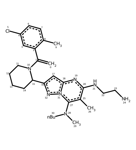 C=C(c1cc(Cl)ccc1C)N1CCCCC1c1cc2nc(NCCN)c(C)c(N(C)CCCC)n2n1